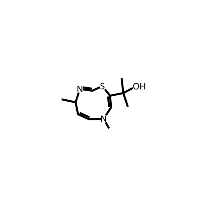 CC1C=CN(C)/C=C(/C(C)(C)O)S/C=N/1